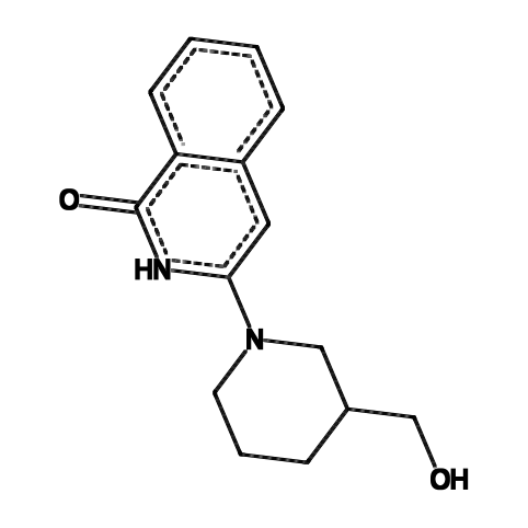 O=c1[nH]c(N2CCCC(CO)C2)cc2ccccc12